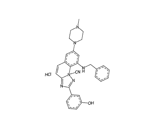 CN1CCN(c2cc3c(c(NCc4ccccc4)c2)[N+]2(C#N)N=C(c4cccc(O)c4)N=C2C=C3)CC1.Cl